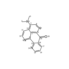 CN(C)c1cnc2c3c(nccc13)-c1ncccc1C2=O